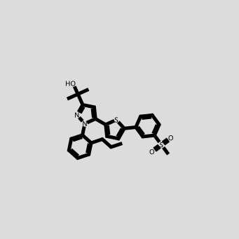 CCCc1ccccc1-n1nc(C(C)(C)O)cc1-c1ccc(-c2cccc(S(C)(=O)=O)c2)s1